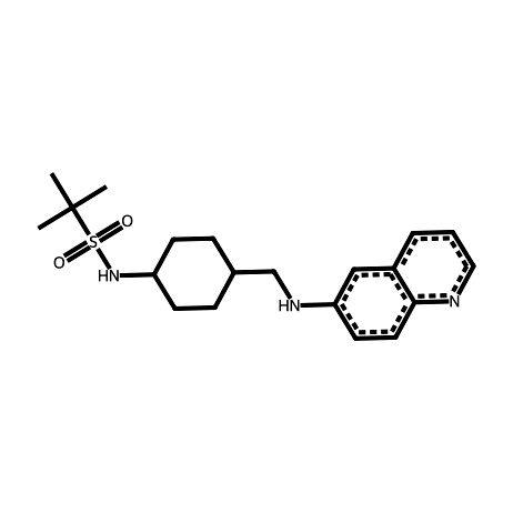 CC(C)(C)S(=O)(=O)NC1CCC(CNc2ccc3ncccc3c2)CC1